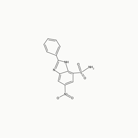 NS(=O)(=O)c1cc([N+](=O)[O-])cc2nc(-c3ccccc3)[nH]c12